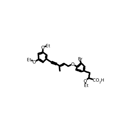 CCOc1cc(C#CC(C)=CCOc2ccc(CC(OCC)C(=O)O)cc2Br)cc(OCC)c1